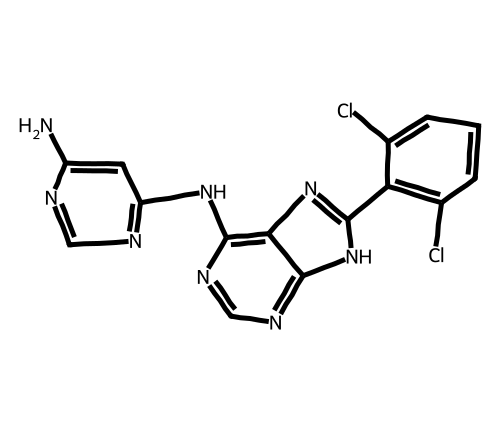 Nc1cc(Nc2ncnc3[nH]c(-c4c(Cl)cccc4Cl)nc23)ncn1